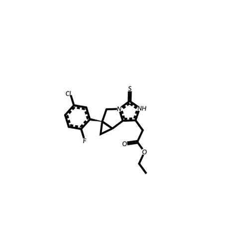 CCOC(=O)Cc1[nH]c(=S)n2c1C1C[C@]1(c1cc(Cl)ccc1F)C2